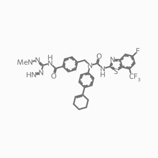 CN/N=C(\N=N)NC(=O)c1ccc(CN(C(=O)Nc2nc3cc(F)cc(C(F)(F)F)c3s2)c2ccc(C3=CCCCC3)cc2)cc1